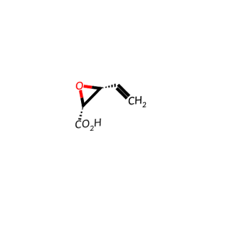 C=C[C@H]1O[C@H]1C(=O)O